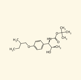 CCC(C)COc1ccc([C@@H](NC(=O)OC(C)(C)C)[C@@H](C)O)cc1